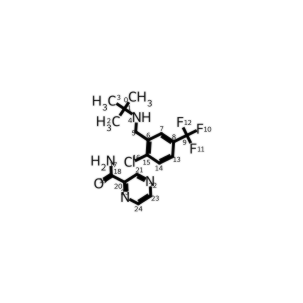 CC(C)(C)NCc1cc(C(F)(F)F)ccc1Cl.NC(=O)c1cnccn1